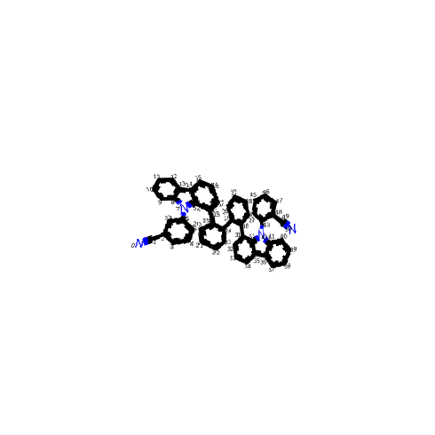 N#Cc1cccc(-n2c3ccccc3c3cccc(-c4ccccc4-c4ccccc4-c4cccc5c6ccccc6n(-c6ccccc6C#N)c45)c32)c1